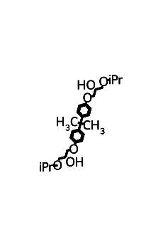 CC(C)OCC(O)COc1ccc(C(C)(C)c2ccc(OCC(O)COC(C)C)cc2)cc1